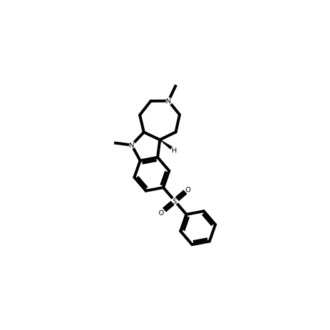 CN1CCC2[C@H](CC1)c1cc(S(=O)(=O)c3ccccc3)ccc1N2C